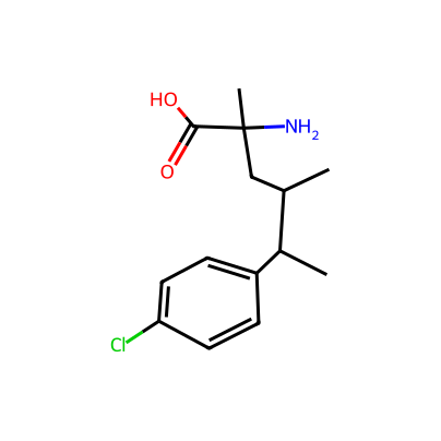 CC(CC(C)(N)C(=O)O)C(C)c1ccc(Cl)cc1